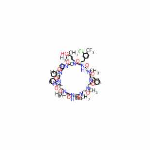 CC[C@H](C)[C@@H]1NC(=O)[C@H](CC(C)C)N(C)C(=O)C[C@@H](C(=O)N2CCCCC2)N(C)C(=O)[C@H](C2CCCCC2)N(C)C(=O)C2(CCCC2)NC(=O)CN(CC=CC(C)(C)O)C(=O)[C@H](CCc2ccc(C(F)(F)F)c(Cl)c2)NC(=O)CN(C)C(=O)[C@H](CC2CCCCC2)N(C)C(=O)CN(C)C(=O)CN(C)C1=O